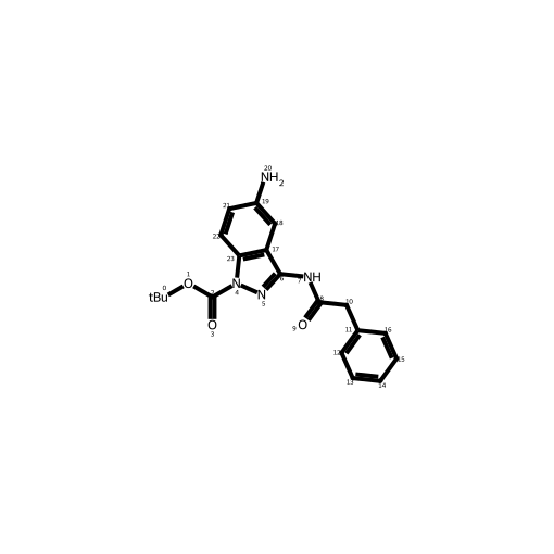 CC(C)(C)OC(=O)n1nc(NC(=O)Cc2ccccc2)c2cc(N)ccc21